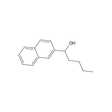 CCCCC(O)c1ccc2ccccc2c1